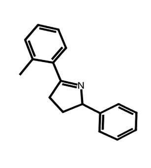 Cc1ccccc1C1=NC(c2ccccc2)CC1